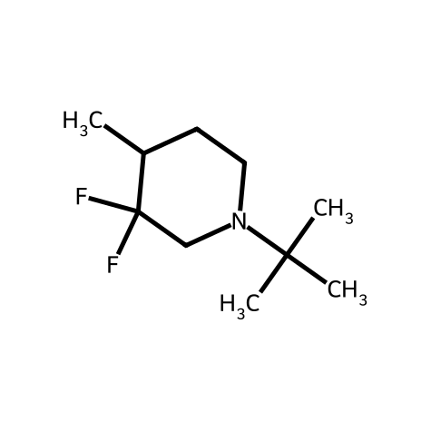 CC1CCN(C(C)(C)C)CC1(F)F